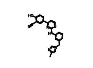 Cc1cn(Cc2cccc(Nc3nccc(-c4ccc(O)c(C#N)c4)n3)c2)cn1